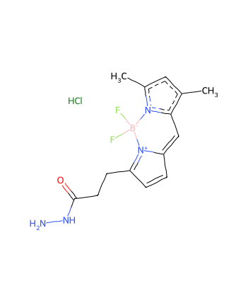 Cc1cc(C)n2c1C=C1C=CC(CCC(=O)NN)=[N+]1[B-]2(F)F.Cl